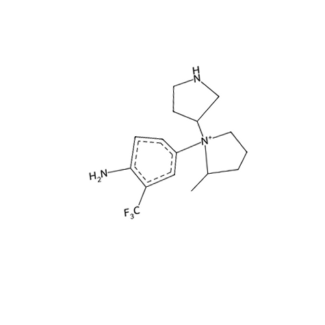 CC1CCC[N+]1(c1ccc(N)c(C(F)(F)F)c1)C1CCNC1